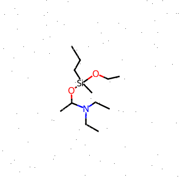 CCC[Si](C)(OCC)OC(C)N(CC)CC